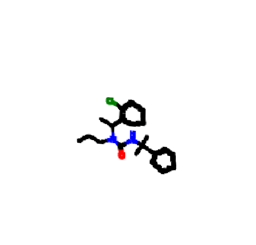 CCCN(C(=O)NC(C)(C)c1ccccc1)C(C)c1ccccc1Cl